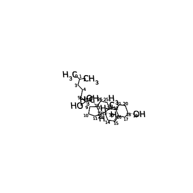 CC(C)CCCC(O)(O)[C@H]1CC[C@H]2[C@@H]3CC=C4C[C@@H](O)CC[C@]4(C)[C@H]3CC[C@]12C